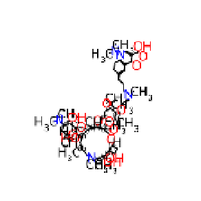 CO[C@]1(C)C[C@H](O[C@H]2[C@H](C)[C@@H](O[C@@H]3O[C@H](C)C[C@H](N(C)C)[C@H]3O)[C@](C)(O)C[C@@H](C)CN(C)[C@H](C)[C@@H](O)[C@@]3(O)CC[C@H]3OC(=O)[C@@H]2C)O[C@@H](C)[C@@H]1OCCN(C)CCCc1ccc2c(c1)c(=O)c(C(=O)O)cn2N(C)C